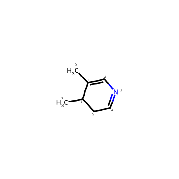 CC1=CN=CCC1C